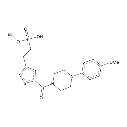 CCOP(=O)(O)CCc1csc(C(=O)N2CCN(c3ccc(OC)cc3)CC2)c1